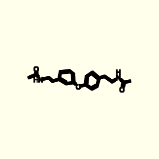 CC(=O)NCCc1ccc(Oc2cccc(CCNC(C)=O)c2)cc1